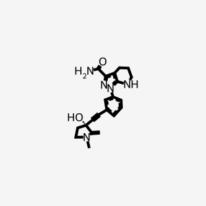 C=C1N(C)CC[C@@]1(O)C#Cc1cccc(-n2nc(C(N)=O)c3c2NCCC3)c1